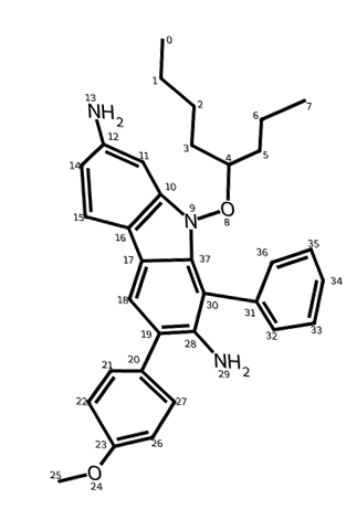 CCCCC(CCC)On1c2cc(N)ccc2c2cc(-c3ccc(OC)cc3)c(N)c(-c3ccccc3)c21